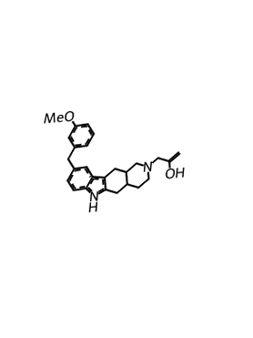 C=C(O)CN1CCC2Cc3[nH]c4ccc(Cc5cccc(OC)c5)cc4c3CC2C1